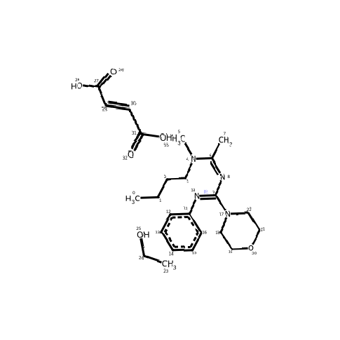 CCCCN(C)C(C)=N/C(=N/c1ccccc1)N1CCOCC1.CCO.O=C(O)C=CC(=O)O